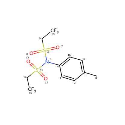 Cc1ccc(N(S(=O)(=O)CC(F)(F)F)S(=O)(=O)CC(F)(F)F)cc1